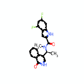 C[C@@H](c1c[nH]c(=O)c2ccccc12)N(C)C(=O)c1cc2c(F)cc(F)cc2[nH]1